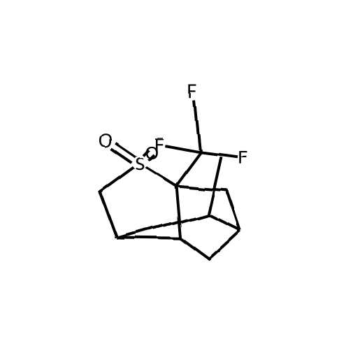 CC1C2CC3C1CS(=O)(=O)C3(C(F)(F)F)C2